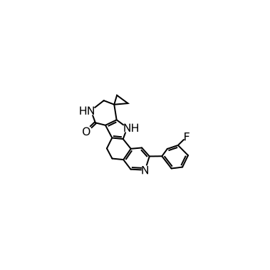 O=C1NCC2(CC2)c2[nH]c3c(c21)CCc1cnc(-c2cccc(F)c2)cc1-3